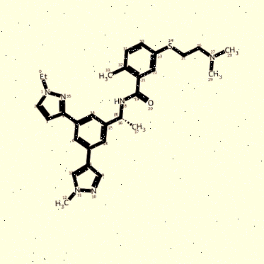 CCn1ccc(-c2cc(-c3cnn(C)c3)cc([C@@H](C)NC(=O)c3cc(SCCN(C)C)ccc3C)c2)n1